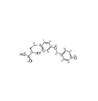 O=C(O)C1CCc2ccc(OCc3ccc(Cl)cc3)cc2O1